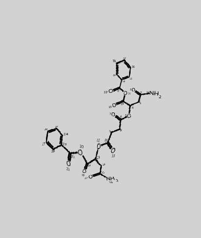 NC(=O)CC(OC(=O)CCC(=O)OC(CC(N)=O)C(=O)OC(=O)c1ccccc1)C(=O)OC(=O)c1ccccc1